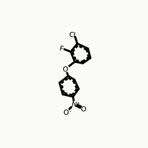 O=[N+]([O-])c1ccc(Oc2cccc(Cl)c2F)cc1